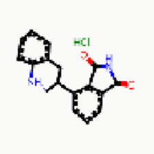 CC(Cc1ccccc1N)c1cccc2c1C(=O)NC2=O.Cl